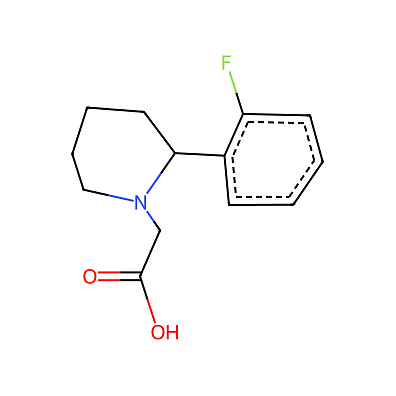 O=C(O)CN1CCCCC1c1ccccc1F